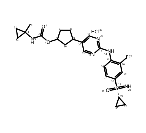 CC1(NC(=O)OC2CCC(c3cnc(Nc4ccc([S@@](=N)(=O)C5CC5)cc4F)nc3)C2)CC1.Cl